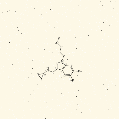 COCCCn1cc(CNC2CC2)c2cc(F)c(F)cc21